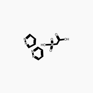 O=C(O)CS(=O)(=O)O.c1ccnnc1.c1ccnnc1